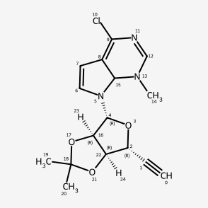 C#C[C@H]1O[C@@H](N2C=CC3=C(Cl)N=CN(C)C32)[C@@H]2OC(C)(C)O[C@@H]21